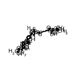 COC(=O)[C@H](CCC(=O)NCCCCCC(=O)N1C[C@H](O[Si](C)(C)C(C)(C)C)C[C@H]1CO)NC(=O)c1ccc(N(Cc2cnc3nc(NC(=O)C(C)C)[nH]c(=O)c3n2)C(=O)C(F)(F)F)cc1